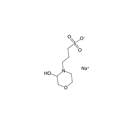 O=S(=O)([O-])CCCN1CCOCC1O.[Na+]